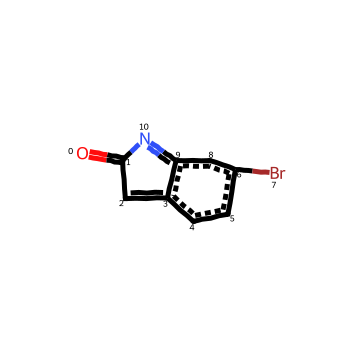 O=C1C=c2ccc(Br)cc2=N1